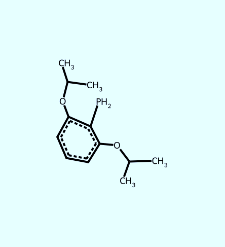 CC(C)Oc1cccc(OC(C)C)c1P